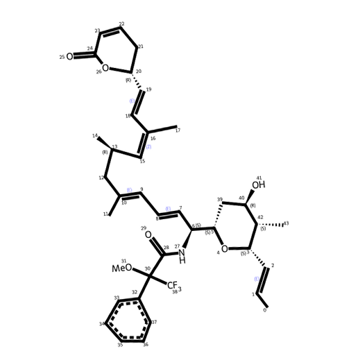 C/C=C/[C@@H]1O[C@H]([C@H](/C=C/C=C(\C)C[C@@H](C)/C=C(C)\C=C\[C@H]2CC=CC(=O)O2)NC(=O)C(OC)(c2ccccc2)C(F)(F)F)C[C@@H](O)[C@@H]1C